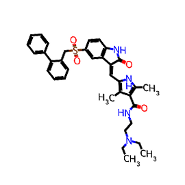 CCN(CC)CCNC(=O)c1c(C)[nH]c(/C=C2\C(=O)Nc3ccc(S(=O)(=O)Cc4ccccc4-c4ccccc4)cc32)c1C